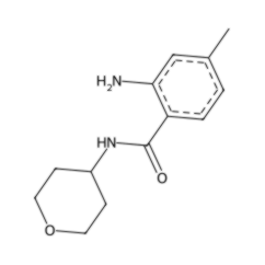 Cc1ccc(C(=O)NC2CCOCC2)c(N)c1